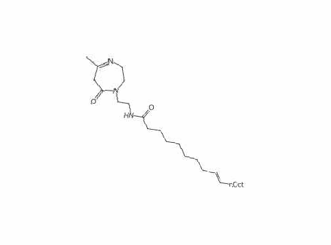 CCCCCCCCC=CCCCCCCCC(=O)NCCN1CCN=C(C)CC1=O